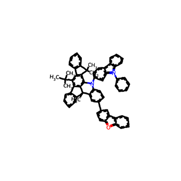 CC(C)(C)c1c2c(c3c4c1-c1ccccc1C4(C)c1cc(-c4ccc5oc6ccccc6c5c4)ccc1N3c1ccc3c4ccccc4n(-c4ccccc4)c3c1)C(C)(C)c1ccccc1-2